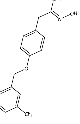 O=CC(Cc1ccc(OCc2cccc(C(F)(F)F)c2)cc1)=NO